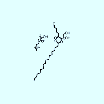 CCCCCCCCCCCCCCCCCC(=O)O[C@H](C(=O)CCCC=O)[C@@H](O)CO.C[N+](C)(C)CCOP(=O)([O-])O